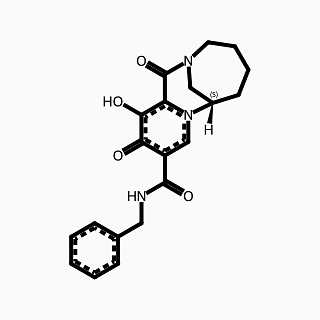 O=C(NCc1ccccc1)c1cn2c(c(O)c1=O)C(=O)N1CCCC[C@H]2C1